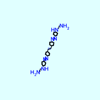 NCCNc1ccc(/N=N/c2ccc(/C=C/c3ccc(/N=N/c4ccc(NCCN)cc4)cc3)cc2)cc1